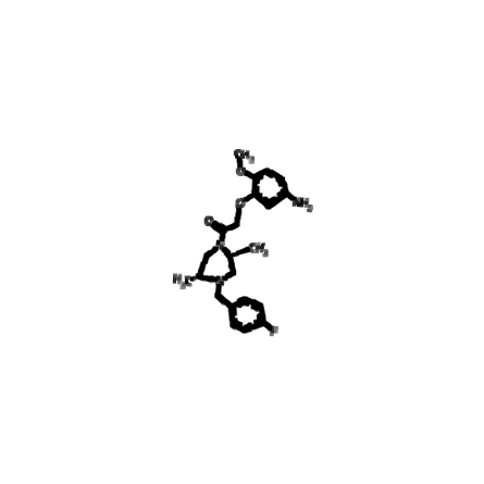 COc1ccc(N)cc1OCC(=O)N1C[C@@H](C)N(Cc2ccc(F)cc2)C[C@@H]1C